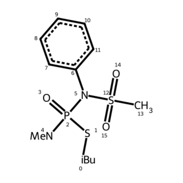 CCC(C)SP(=O)(NC)N(c1ccccc1)S(C)(=O)=O